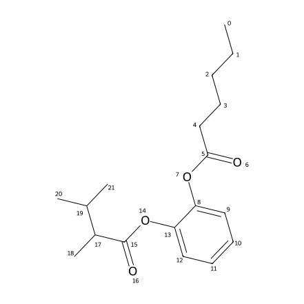 CCCCCC(=O)Oc1ccccc1OC(=O)C(C)C(C)C